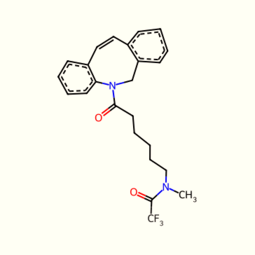 CN(CCCCCC(=O)N1Cc2ccccc2C=Cc2ccccc21)C(=O)C(F)(F)F